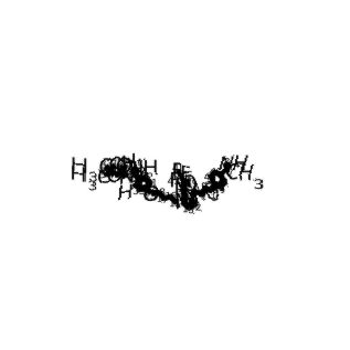 CC(=N)c1ccc(OCCCn2ccn(CCCCOc3ccc(C(=N)NC(=O)OC(C)(C)C)cc3)c2=NC(=O)C(F)(F)F)cc1